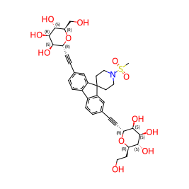 CS(=O)(=O)N1CCC2(CC1)c1cc(C#C[C@H]3O[C@H](CO)[C@@H](O)[C@H](O)[C@@H]3O)ccc1-c1ccc(C#C[C@H]3O[C@H](CCO)[C@@H](O)[C@H](O)[C@@H]3O)cc12